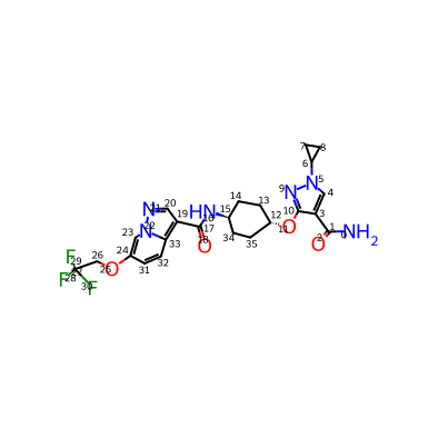 NC(=O)c1cn(C2CC2)nc1O[C@H]1CC[C@H](NC(=O)c2cnn3cc(OCC(F)(F)F)ccc23)CC1